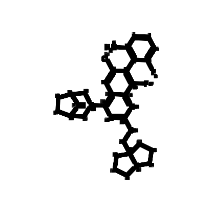 Nc1cccc(F)c1-c1c(Cl)cc2c(N3CC4CCC(C3)N4)nc(OCC34CCCN3CCC4)nc2c1F